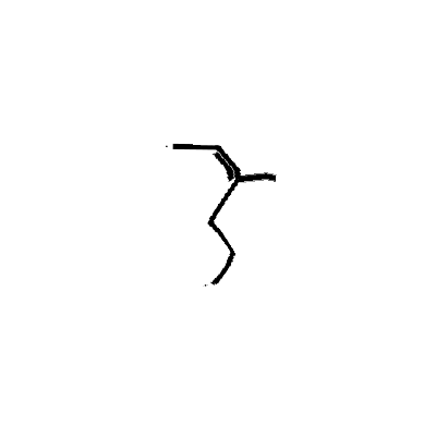 [CH2]C=C(C)CC[CH2]